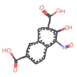 O=Nc1c(O)c(C(=O)O)cc2cc(C(=O)O)ccc12